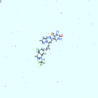 O=c1[nH]cc(-c2cc(C3C[C@@H]3c3cc(F)c4cnn(CC(F)(F)F)c4c3)n3nccc3n2)c(=O)[nH]1